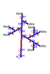 CNCCNC(=O)CCN(CCNC(=O)CCN(CCNC(=O)CCN(CCCOCCOCCOCCCNC(=O)CCCC(=O)NN)CCC(=O)NCCN(CCC(=O)NCCN(CCC(=O)NCCNC)CCC(=O)NCCNC)CCC(=O)NCCN(CCC(=O)NCCNC)CCC(=O)NCCNC)CCC(=O)NCCN(CCC(=O)NCCNC)CCC(=O)NCCNC)CCC(=O)NCCNC